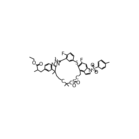 CCOC(=O)C(C)Cc1cccc(C2(C)CCCC(C)(C)CS(=O)(=O)CCc3c(c(F)cc4c3ccn4S(=O)(=O)c3ccc(C)cc3)Sc3ccc(F)c(c3)-c3nc2nn3C)c1